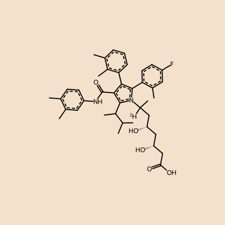 [2H]C(C)(C[C@@H](O)C[C@@H](O)CC(=O)O)n1c(-c2ccc(F)cc2C)c(-c2cccc(C)c2C)c(C(=O)Nc2ccc(C)c(C)c2)c1C(C)C(C)C